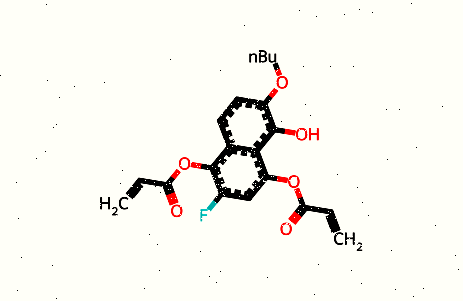 C=CC(=O)Oc1c(F)cc(OC(=O)C=C)c2c(O)c(OCCCC)ccc12